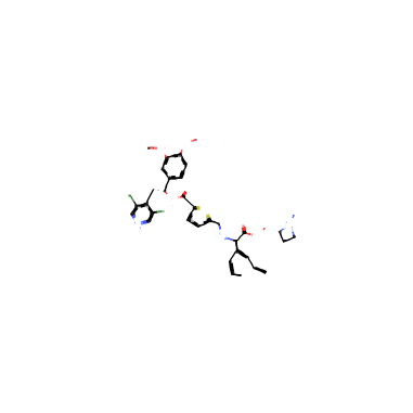 C=C/C=C(\C=C/C)C(NCc1ccc(C(=O)O[C@@H](Cc2c(Cl)cncc2Cl)c2ccc(OC)c(OC)c2)s1)C(=O)OC[C@H]1CCN1C